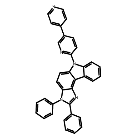 c1ccc(-c2nc3c4c5ccccc5n(-c5ccc(-c6ccncc6)cn5)c4ccc3n2-c2ccccc2)cc1